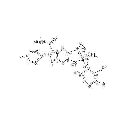 CNC(=O)c1c(-c2ccc(F)cc2)oc2cc(N(Cc3ccc(Br)c(F)c3)S(C)(=O)=O)c(C3CC3)cc12